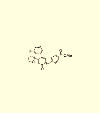 COC(=O)c1ccc(Cn2ccc(C3(c4ccc(F)cc4F)CCCO3)cc2=O)cc1